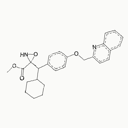 COC(=O)C1(C(c2ccc(OCc3ccc4ccccc4n3)cc2)C2CCCCC2)NO1